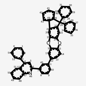 c1ccc(-c2cc(-c3cccc(-c4ccc5c(c4)Oc4cc6c(cc4O5)C(c4ccccc4)(c4ccccc4)c4ccccc4-6)c3)nc3ccccc23)cc1